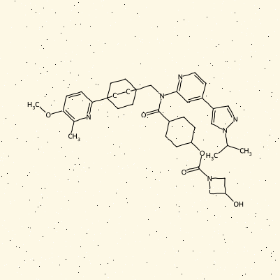 COc1ccc(C23CCC(CN(C(=O)C4CCC(OC(=O)N5CC(O)C5)CC4)c4cc(-c5cnn(C(C)C)c5)ccn4)(CC2)CC3)nc1C